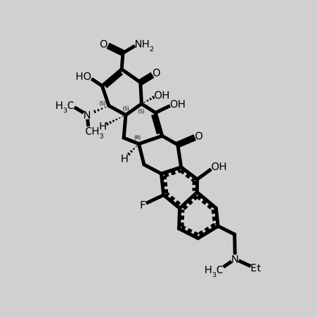 CCN(C)Cc1ccc2c(F)c3c(c(O)c2c1)C(=O)C1=C(O)[C@]2(O)C(=O)C(C(N)=O)=C(O)[C@@H](N(C)C)[C@@H]2C[C@@H]1C3